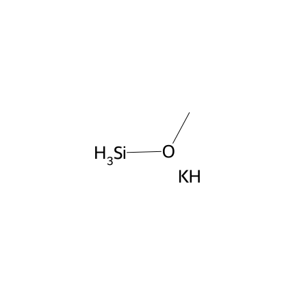 CO[SiH3].[KH]